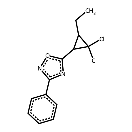 CCC1C(c2nc(-c3ccccc3)no2)C1(Cl)Cl